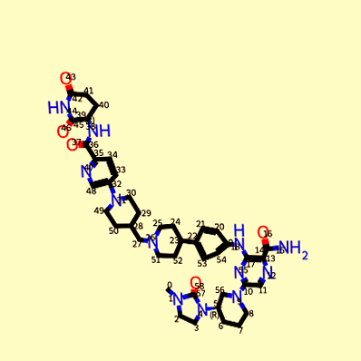 CN1CCN([C@@H]2CCCN(c3cnc(C(N)=O)c(Nc4ccc(C5CCN(CC6CCN(c7ccc(C(=O)N[C@@H]8CCC(=O)NC8=O)nc7)CC6)CC5)cc4)n3)C2)C1=O